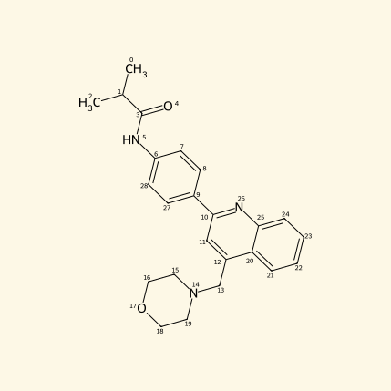 CC(C)C(=O)Nc1ccc(-c2cc(CN3CCOCC3)c3ccccc3n2)cc1